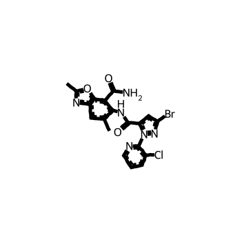 Cc1nc2cc(C)c(NC(=O)c3cc(Br)nn3-c3ncccc3Cl)c(C(N)=O)c2o1